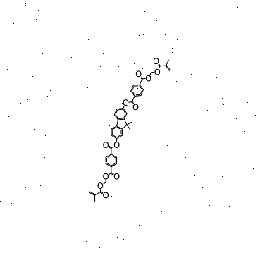 C=C(C)C(=O)OCOC(=O)c1ccc(C(=O)Oc2ccc3c(c2)C(C)(C)c2cc(OC(=O)c4ccc(C(=O)OCOC(=O)C(=C)C)cc4)ccc2-3)cc1